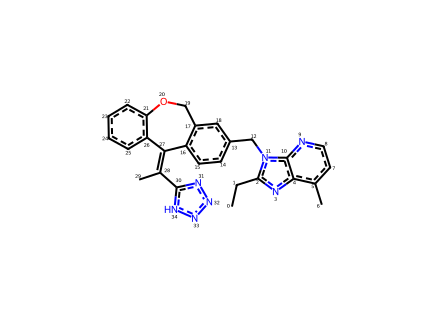 CCc1nc2c(C)ccnc2n1Cc1ccc2c(c1)COc1ccccc1C2=C(C)c1nnn[nH]1